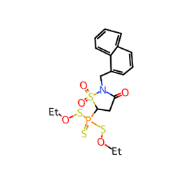 CCOSP(=S)(SOCC)C1CC(=O)N(Cc2cccc3ccccc23)S1(=O)=O